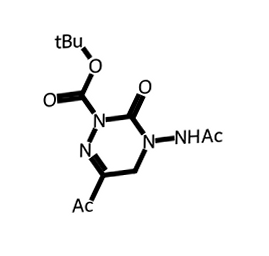 CC(=O)NN1CC(C(C)=O)=NN(C(=O)OC(C)(C)C)C1=O